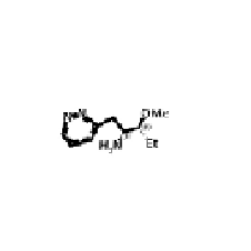 CC[C@@H](OC)[C@H](N)Cc1cccnn1